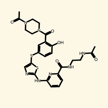 CC(=O)NCCNC(=O)c1cccc(Nc2ncc(Sc3ccc(O)c(C(=O)N4CCN(C(C)=O)CC4)c3)s2)n1